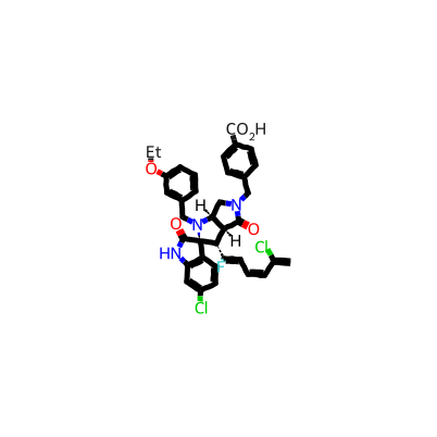 C=C(Cl)/C=C\C=C(/F)[C@H]1[C@@H]2C(=O)N(Cc3ccc(C(=O)O)cc3)C[C@@H]2N(Cc2cccc(OCC)c2)[C@]12C(=O)Nc1cc(Cl)ccc12